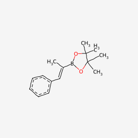 C/C(=C\c1ccccc1)B1OC(C)(C)C(C)(C)O1